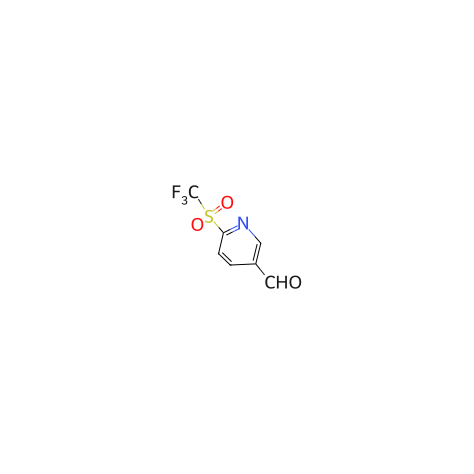 O=Cc1ccc(S(=O)(=O)C(F)(F)F)nc1